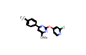 COc1cc(-c2ccc(C(F)(F)F)cc2)nc(Oc2ccnc(Cl)c2)n1